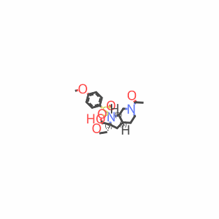 CC[C@@]1(C(=O)O)C[C@@H]2CCN(C(C)=O)C[C@@H]2N1S(=O)(=O)c1ccc(OC)cc1